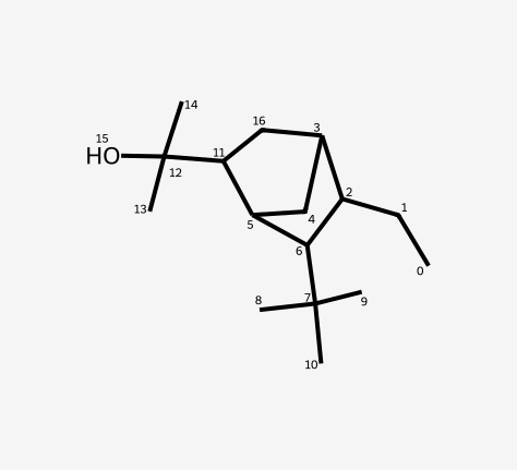 CCC1C2CC(C1C(C)(C)C)C(C(C)(C)O)C2